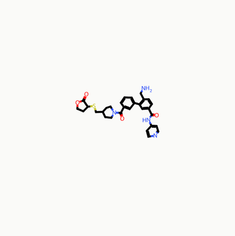 NCc1ccc(C(=O)Nc2ccncc2)cc1-c1cccc(C(=O)N2CCC(CSC3CCOC3=O)CC2)c1